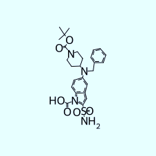 CC(C)(C)OC(=O)N1CCC(N(Cc2ccccc2)c2ccc3c(c2)cc(S(N)(=O)=O)n3C(=O)O)CC1